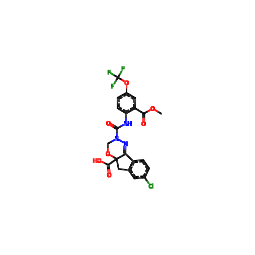 COC(=O)c1cc(OC(F)(F)F)ccc1NC(=O)N1COC2(C(=O)O)Cc3cc(Cl)ccc3C2=N1